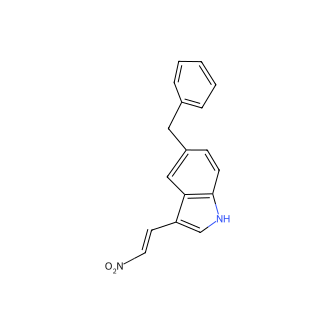 O=[N+]([O-])C=Cc1c[nH]c2ccc(Cc3ccccc3)cc12